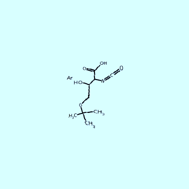 CC(C)(C)OCC(O)C(N=C=O)C(=O)O.[Ar]